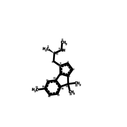 CN[C@@H](C)Cn1ccc2c1-c1cc(C)ccc1C2(C)C